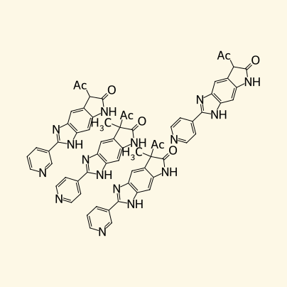 CC(=O)C1(C)C(=O)Nc2cc3[nH]c(-c4cccnc4)nc3cc21.CC(=O)C1(C)C(=O)Nc2cc3[nH]c(-c4ccncc4)nc3cc21.CC(=O)C1C(=O)Nc2cc3[nH]c(-c4cccnc4)nc3cc21.CC(=O)C1C(=O)Nc2cc3[nH]c(-c4ccncc4)nc3cc21